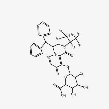 [2H]C([2H])([2H])C([2H])(N1CC(C(c2ccccc2)c2ccccc2)n2ncc(=O)c(OC3OC(C(=O)O)C(O)C(O)C3O)c2C1=O)C([2H])([2H])[2H]